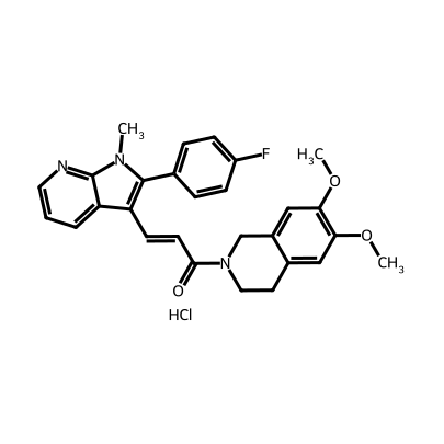 COc1cc2c(cc1OC)CN(C(=O)C=Cc1c(-c3ccc(F)cc3)n(C)c3ncccc13)CC2.Cl